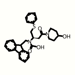 O=C(C[C@H](CSc1ccccc1)N(CC1c2ccccc2-c2ccccc21)C(=O)O)N1CCC(O)CC1